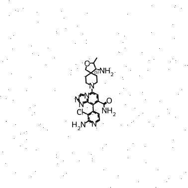 CC1OCC2(CCN(c3cc(C(N)=O)c(-c4ccnc(N)c4Cl)c4nncn34)CC2)[C@@H]1N